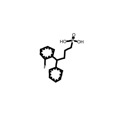 O=P(O)(O)CCCC(c1ccccc1)c1ccccc1F